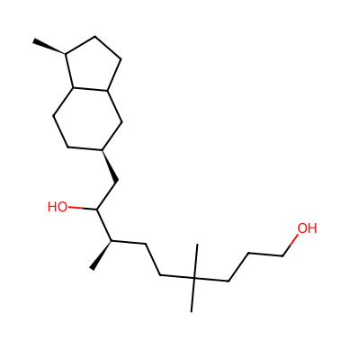 C[C@H](CCC(C)(C)CCCO)C(O)C[C@H]1CCC2C(CC[C@@H]2C)C1